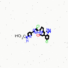 O=C(O)Nc1ccc(-c2nc(Cl)c([C@@H]3CCc4cc(-c5cc(Cl)ccc5-n5cnnn5)cc(=O)n43)[nH]2)cn1